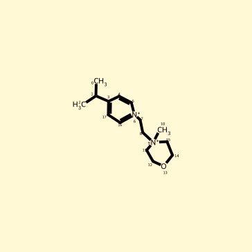 CC(C)c1cc[n+](CC[N+]2(C)CCOCC2)cc1